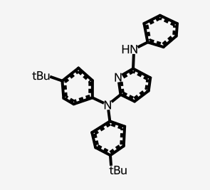 CC(C)(C)c1ccc(N(c2ccc(C(C)(C)C)cc2)c2cccc(Nc3ccccc3)n2)cc1